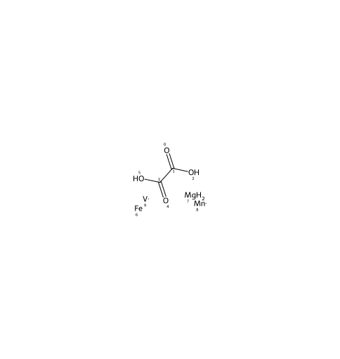 O=C(O)C(=O)O.[Fe].[MgH2].[Mn].[V]